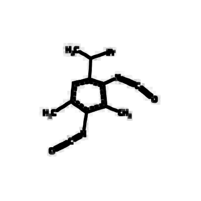 Cc1cc(C(C)C(C)C)c(N=C=O)c(C)c1N=C=O